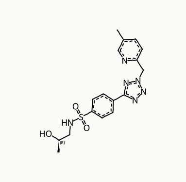 Cc1ccc(Cn2nnc(-c3ccc(S(=O)(=O)NC[C@@H](C)O)cc3)n2)nc1